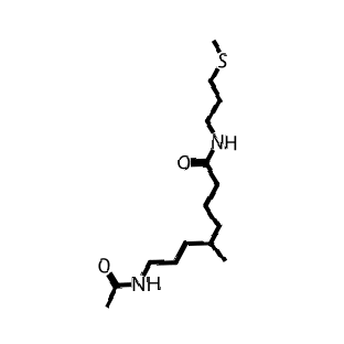 CSCCCNC(=O)CCCC(C)CCCNC(C)=O